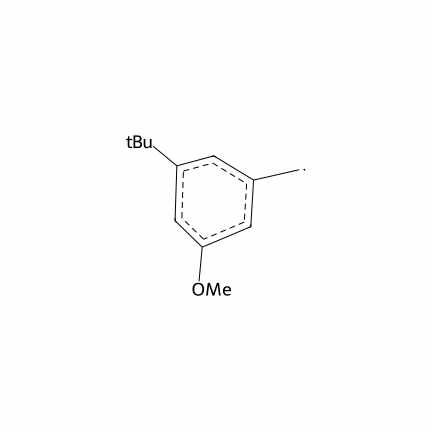 [CH2]c1cc(OC)cc(C(C)(C)C)c1